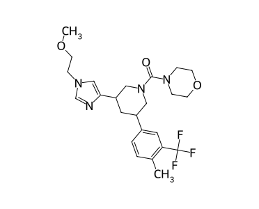 COCCn1cnc(C2CC(c3ccc(C)c(C(F)(F)F)c3)CN(C(=O)N3CCOCC3)C2)c1